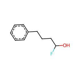 OC(F)CCCc1ccccc1